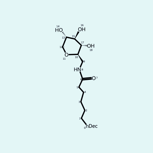 CCCCCCCCCCCCCCCC(=O)NC[C@H]1O[CH][C@H](O)[C@@H](O)[C@@H]1O